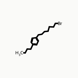 CCCCc1ccc(CCCCCCCBr)cc1